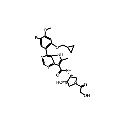 COc1cc(OCC2CC2)c(-c2ncnc3c(C(=O)N[C@@H]4CN(C(=O)CO)C[C@H]4O)c(C)[nH]c23)cc1F